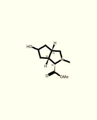 COC(=O)[C@@H]1[C@@H]2CC(O)C[C@@H]2CN1C